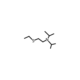 CCSCCN(C(C)C)C(C)C